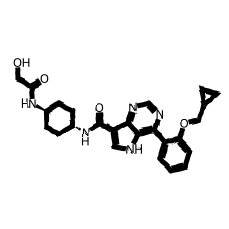 O=C(CO)N[C@H]1CC[C@H](NC(=O)c2c[nH]c3c(-c4ccccc4OCC4CC4)ncnc23)CC1